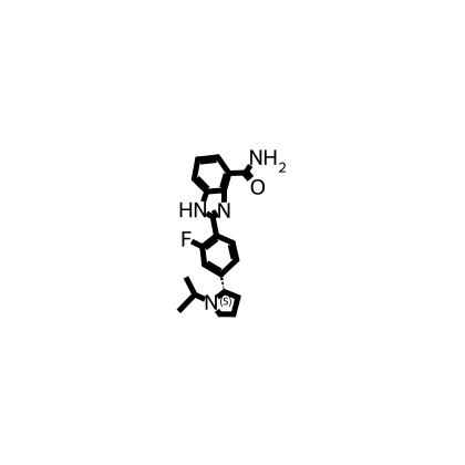 CC(C)N1CCC[C@H]1c1ccc(-c2nc3c(C(N)=O)cccc3[nH]2)c(F)c1